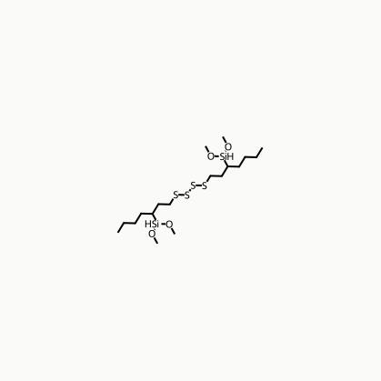 CCCCC(CCSSSSCCC(CCCC)[SiH](OC)OC)[SiH](OC)OC